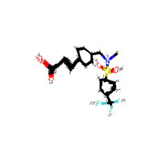 CN(CC1CCC(CCC(=O)O)CC1)S(=O)(=O)c1ccc(C(F)(F)F)cc1